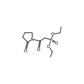 CCOP(=O)(CC(=O)N1CCCC1=O)OCC